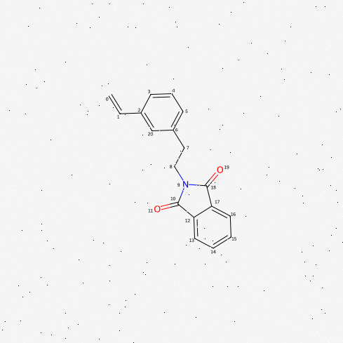 C=Cc1cccc(CCN2C(=O)c3ccccc3C2=O)c1